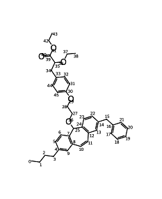 CCCCc1ccc2c(c1)C=Cc1cc(Cc3ccccc3)ccc1C2OCCOc1ccc(CC(OCC)C(=O)OCC)cc1